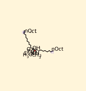 CCCCCCCC/C=C\CCCCCCCC(=O)C(O)(C(=O)CCCCCCC/C=C\CCCCCCCC)C([P-]CC)[N+](C)(C)C